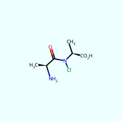 C[C@H](N)C(=O)N(Cl)[C@@H](C)C(=O)O